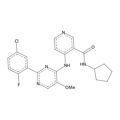 COc1cnc(-c2cc(Cl)ccc2F)nc1Nc1ccncc1C(=O)NC1CCCC1